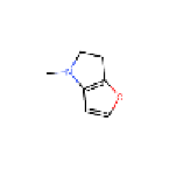 CN1CCc2occc21